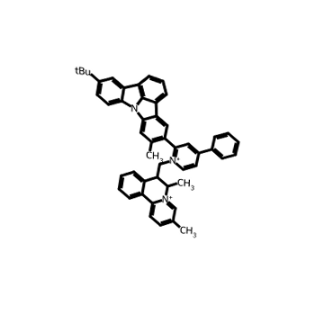 Cc1ccc2[n+](c1)C(C)C(C[n+]1ccc(-c3ccccc3)cc1-c1cc3c4cccc5c6cc(C(C)(C)C)ccc6n(c3cc1C)c54)c1ccccc1-2